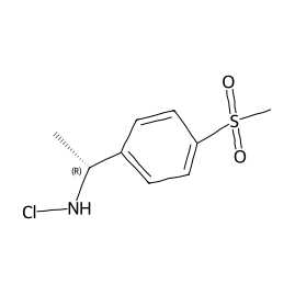 C[C@@H](NCl)c1ccc(S(C)(=O)=O)cc1